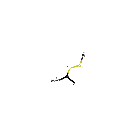 CCSSC(C)SC